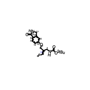 CC(C)(C)OC(=O)NC/C(=C/F)COc1ccc2c(c1)CNC2=O